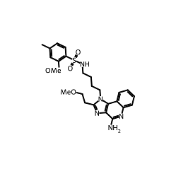 COCCc1nc2c(N)nc3ccccc3c2n1CCCCNS(=O)(=O)c1ccc(C)cc1OC